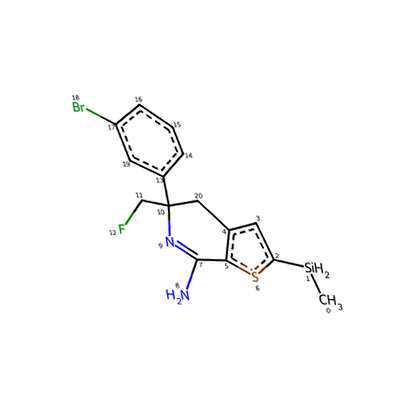 C[SiH2]c1cc2c(s1)C(N)=NC(CF)(c1cccc(Br)c1)C2